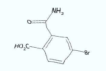 NC(=O)c1cc(Br)ccc1C(=O)O